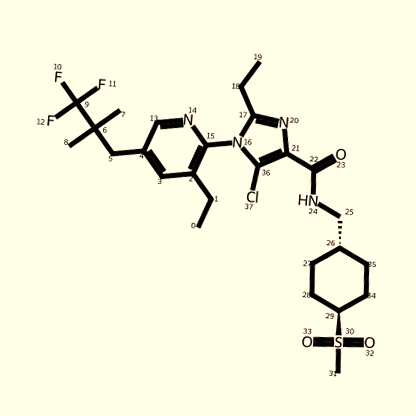 CCc1cc(CC(C)(C)C(F)(F)F)cnc1-n1c(CC)nc(C(=O)NC[C@H]2CC[C@H](S(C)(=O)=O)CC2)c1Cl